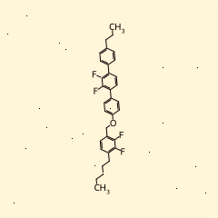 CCCCCc1ccc(COc2ccc(-c3ccc(-c4ccc(CCC)cc4)c(F)c3F)cc2)c(F)c1F